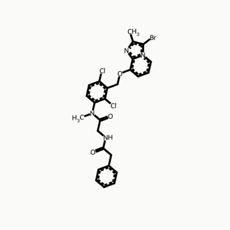 Cc1nc2c(OCc3c(Cl)ccc(N(C)C(=O)CNC(=O)Cc4ccccc4)c3Cl)cccn2c1Br